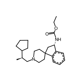 CCOC(=O)N[C@H]1CC2(CCN(C[C@@H](C)C3CCCC3)CC2)c2ccccc21